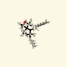 CC(C(P(=O)([O-])[O-])(P(=O)([O-])[O-])P(=O)([O-])[O-])P(=O)([O-])[O-].[Na+].[Na+].[Na+].[Na+].[Na+].[Na+].[Na+].[Na+]